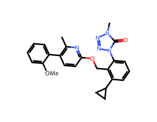 COc1ccccc1-c1ccc(OCc2c(C3CC3)cccc2-n2nnn(C)c2=O)nc1C